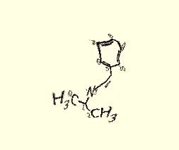 CC(C)[N]Cc1ccccc1